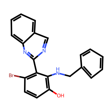 Oc1ccc(Br)c(-c2ncc3ccccc3n2)c1NCc1ccccc1